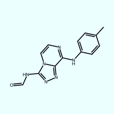 Cc1ccc(Nc2nccn3c(NC=O)nnc23)cc1